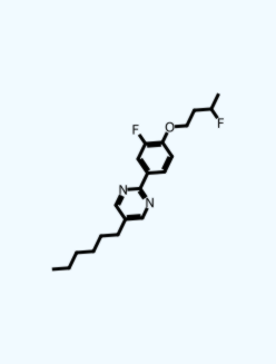 CCCCCCc1cnc(-c2ccc(OCCC(C)F)c(F)c2)nc1